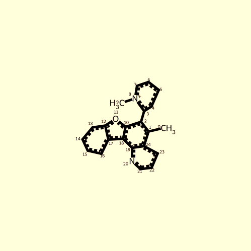 Cc1c(-c2cccc[n+]2C)c2oc3ccccc3c2c2ncccc12